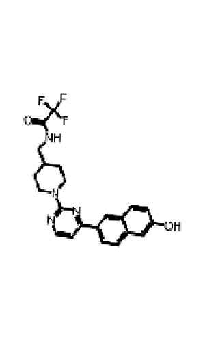 O=C(NCC1CCN(c2nccc(-c3ccc4cc(O)ccc4c3)n2)CC1)C(F)(F)F